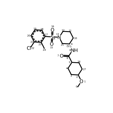 COC1CCC(C(=O)N[C@H]2CCCN(S(=O)(=O)c3cccc(Cl)c3C)C2)CC1